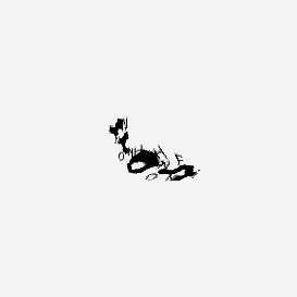 Cc1cncc(C(=O)N[C@@]23CCC[C@@](NC(=O)c4ncc(F)cc4F)(CC2)C3)n1